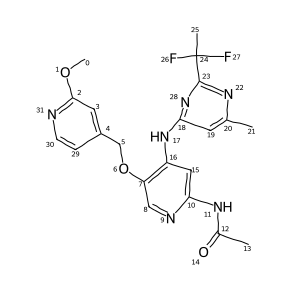 COc1cc(COc2cnc(NC(C)=O)cc2Nc2cc(C)nc(C(C)(F)F)n2)ccn1